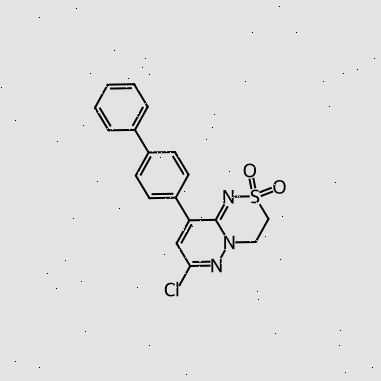 O=S1(=O)CCN2N=C(Cl)C=C(c3ccc(-c4ccccc4)cc3)C2=N1